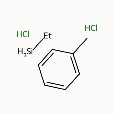 CC[SiH3].Cc1ccccc1.Cl.Cl